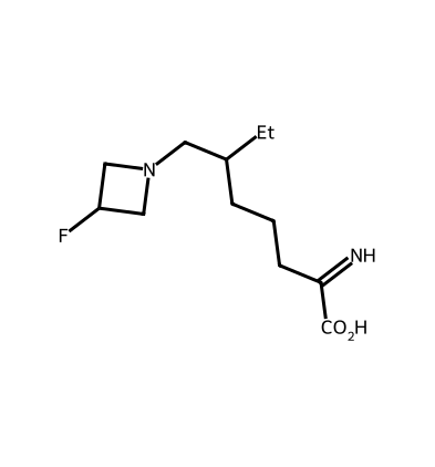 CCC(CCCC(=N)C(=O)O)CN1CC(F)C1